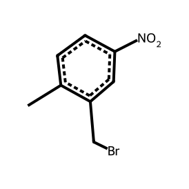 Cc1ccc([N+](=O)[O-])cc1CBr